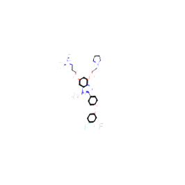 CCCCn1c(-c2ccc(Oc3ccc(F)c(C(F)(F)F)c3)cc2)nc2c(OCCN3CCCC3)cc(OCCCN(CC)CC)cc21